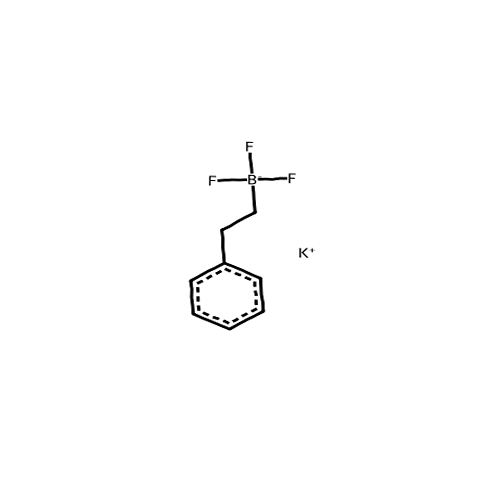 F[B-](F)(F)CCc1ccccc1.[K+]